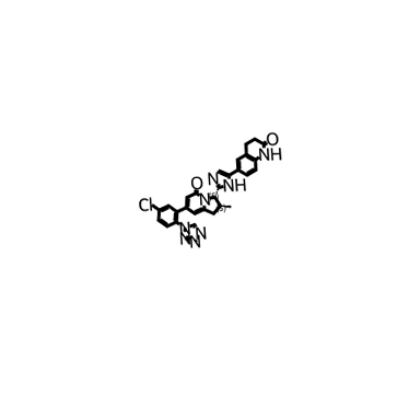 C[C@H]1Cc2cc(-c3cc(Cl)ccc3-n3cnnn3)cc(=O)n2[C@@H]1c1ncc(-c2ccc3c(c2)CCC(=O)N3)[nH]1